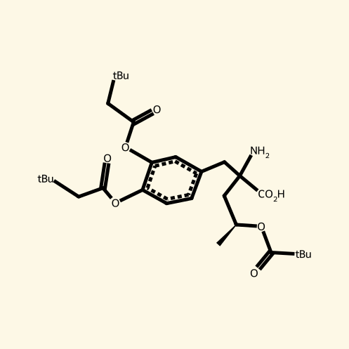 C[C@@H](CC(N)(Cc1ccc(OC(=O)CC(C)(C)C)c(OC(=O)CC(C)(C)C)c1)C(=O)O)OC(=O)C(C)(C)C